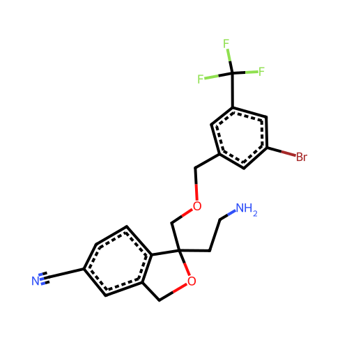 N#Cc1ccc2c(c1)COC2(CCN)COCc1cc(Br)cc(C(F)(F)F)c1